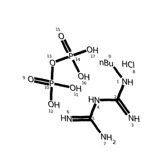 CCCCNC(=N)NC(=N)N.Cl.O=P(O)(O)OP(=O)(O)O